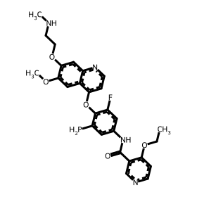 CCOc1ccncc1C(=O)Nc1cc(F)c(Oc2ccnc3cc(OCCNC)c(OC)cc23)c(P)c1